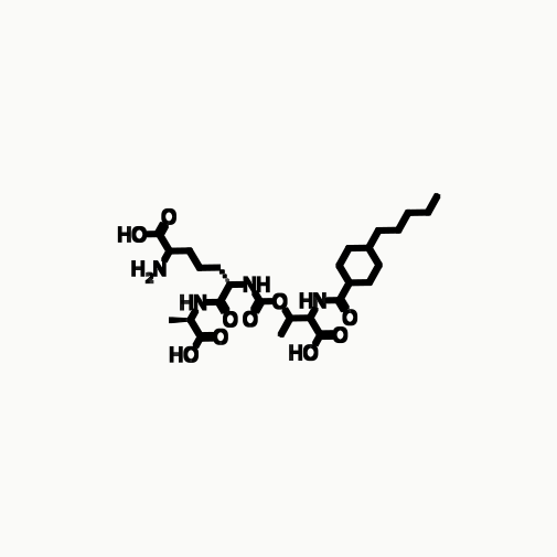 CCCCCC1CCC(C(=O)NC(C(=O)O)C(C)OC(=O)N[C@@H](CCCC(N)C(=O)O)C(=O)N[C@H](C)C(=O)O)CC1